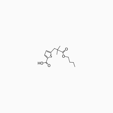 CCCCOC(=O)C(C)(C)Cc1ccc(C(=O)O)s1